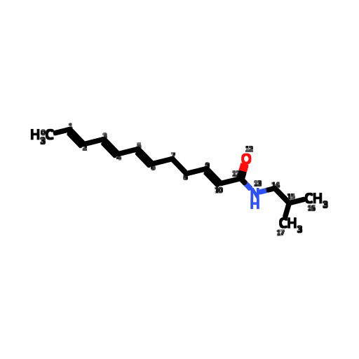 CC=CC=CC=CCCC=CC(=O)NCC(C)C